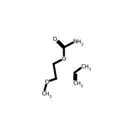 C=CC.COCCOC(N)=O